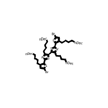 CCCCCCCCCCCCCCc1cc(Br)sc1-c1nc(CCCCCCCCCCCCCC)c(-c2sc(-c3sc(Br)cc3CCCCCCCCCCCCCC)nc2CCCCCCCCCCCCCC)s1